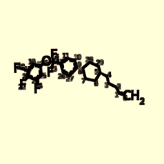 C=CCCC[C@H]1CC[C@H](c2ccc(C(F)(F)Oc3cc(F)c(F)c(F)c3)cc2)CC1